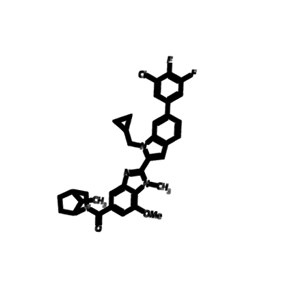 COc1cc(C(=O)N2CC3CCC2C3C)cc2nc(-c3cc4ccc(-c5cc(F)c(F)c(Cl)c5)cc4n3CC3CC3)n(C)c12